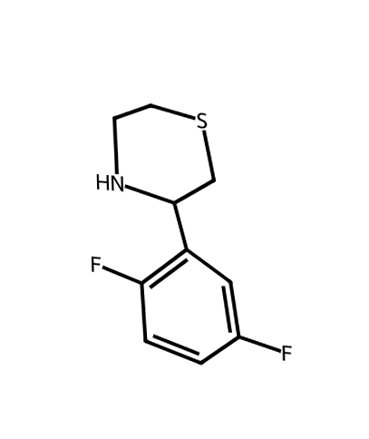 Fc1ccc(F)c(C2CSCCN2)c1